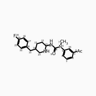 CC(=O)c1cccc(N(C)C(=O)NC2CCC(Cc3ccc(F)cc3)CN2)c1